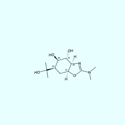 CN(C)C1=N[C@@H]2[C@@H](O)[C@H](O)[C@H](C(C)(C)O)C[C@@H]2O1